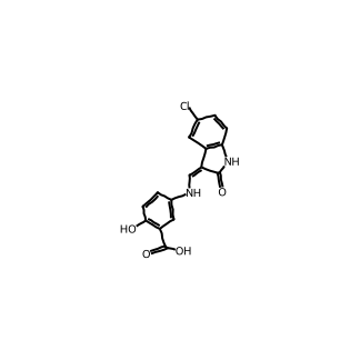 O=C1Nc2ccc(Cl)cc2C1=CNc1ccc(O)c(C(=O)O)c1